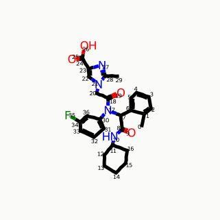 Cc1ccccc1C(C(=O)NC1CCCCC1)N(C(=O)Cn1cc(C(=O)O)nc1C)c1cccc(F)c1